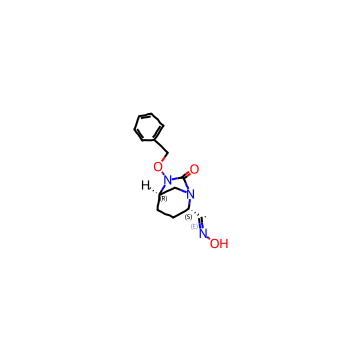 O=C1N2C[C@@H](CC[C@H]2/[C]=N/O)N1OCc1ccccc1